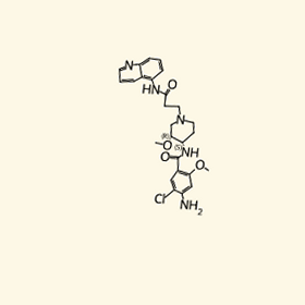 COc1cc(N)c(Cl)cc1C(=O)N[C@H]1CCN(CCC(=O)Nc2cccc3ncccc23)C[C@H]1OC